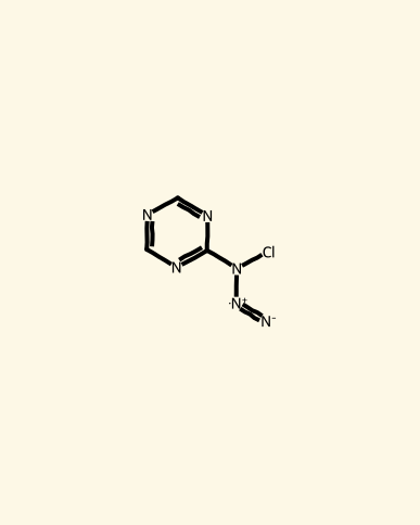 [N-]=[N+]N(Cl)c1ncncn1